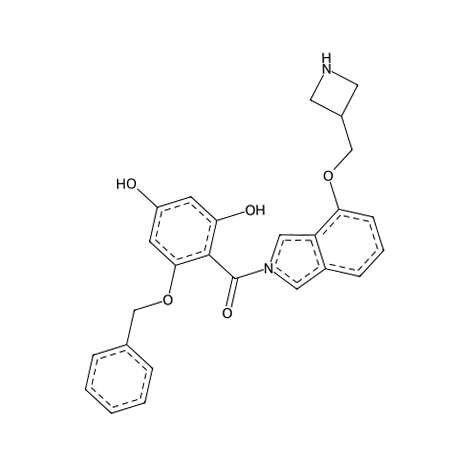 O=C(c1c(O)cc(O)cc1OCc1ccccc1)n1cc2cccc(OCC3CNC3)c2c1